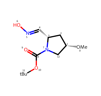 CO[C@H]1C[C@@H](/C=N/O)N(C(=O)OC(C)(C)C)C1